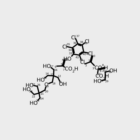 C=C(C)C(=O)O.C=C(C)C(=O)O.C=CC(=O)O.OCC(CO)(CO)COCC(CO)(CO)CO.OCCO.Oc1c(Cl)c(Cl)c(Cl)c(Cl)c1Cl